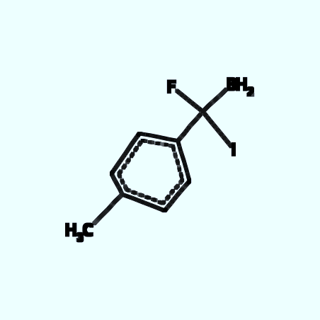 BC(F)(I)c1ccc(C)cc1